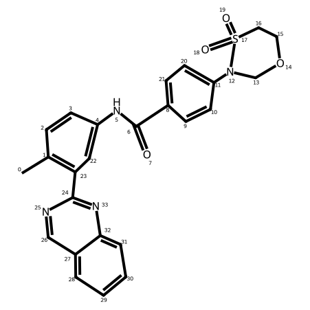 Cc1ccc(NC(=O)c2ccc(N3COCCS3(=O)=O)cc2)cc1-c1ncc2ccccc2n1